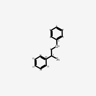 [S]C(COc1ccccc1)c1ccccc1